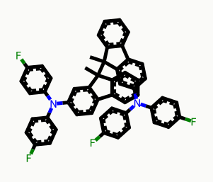 CC1(C2(C)c3ccccc3-c3ccc(N(c4ccc(F)cc4)c4ccc(F)cc4)cc32)c2ccccc2-c2ccc(N(c3ccc(F)cc3)c3ccc(F)cc3)cc21